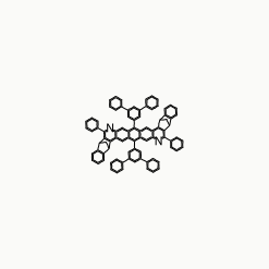 c1ccc(-c2cc(-c3ccccc3)cc(-c3c4cc5nc(-c6ccccc6)c6c(c5cc4c(-c4cc(-c5ccccc5)cc(-c5ccccc5)c4)c4cc5nc(-c7ccccc7)c7c(c5cc34)C3CC7c4ccccc43)C3CC6c4ccccc43)c2)cc1